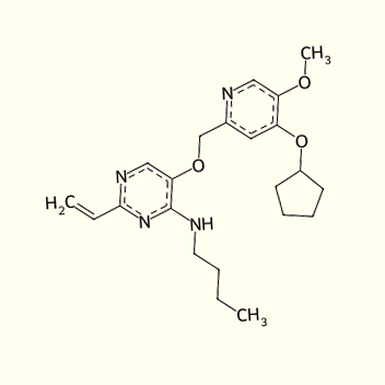 C=Cc1ncc(OCc2cc(OC3CCCC3)c(OC)cn2)c(NCCCC)n1